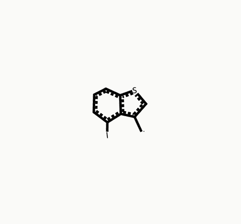 [CH2]c1csc2cccc(I)c12